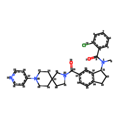 CN(C(=O)c1ccccc1Cl)C1CCc2ccc(C(=O)N3CCC4(CCN(c5ccncc5)CC4)C3)cc21